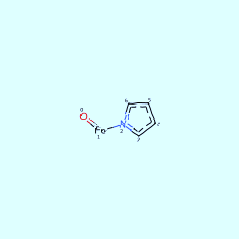 [O]=[Fe][n]1cccc1